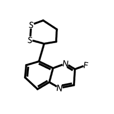 Fc1cnc2cccc(C3CCCSS3)c2n1